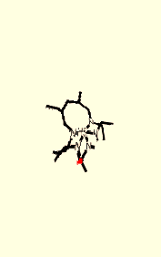 CCN(C)[SH]1(N(C)CC)(N(C)CC)N(CC)CC(C)CC(C)CN1CC